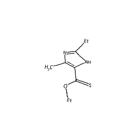 CCOC(=S)c1[nH]c(CC)nc1C